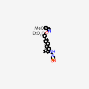 C=C(C)[C@@H]1CC[C@]2(NCCN3CCS(=O)(=O)CC3)CC[C@]3(C)[C@H](CCC4[C@@]5(C)CC=C(C6=CCC(COc7nccc8ccc(OC)cc78)(C(=O)OCC)CC6)C(C)(C)C5CC[C@]43C)C12